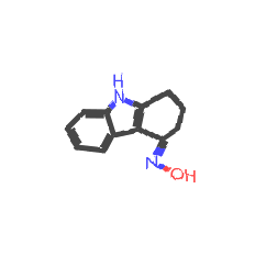 ON=C1CCCc2[nH]c3ccccc3c21